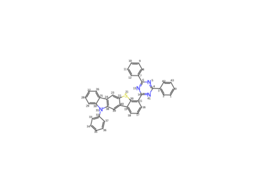 c1ccc(-c2nc(-c3ccccc3)nc(-c3cccc4c3sc3cc5c6ccccc6n(-c6ccccc6)c5cc34)n2)cc1